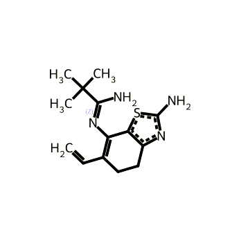 C=CC1=C(/N=C(\N)C(C)(C)C)c2sc(N)nc2CC1